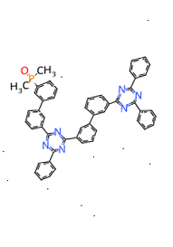 CP(C)(=O)c1cccc(-c2cccc(-c3nc(-c4ccccc4)nc(-c4cccc(-c5cccc(-c6nc(-c7ccccc7)nc(-c7ccccc7)n6)c5)c4)n3)c2)c1